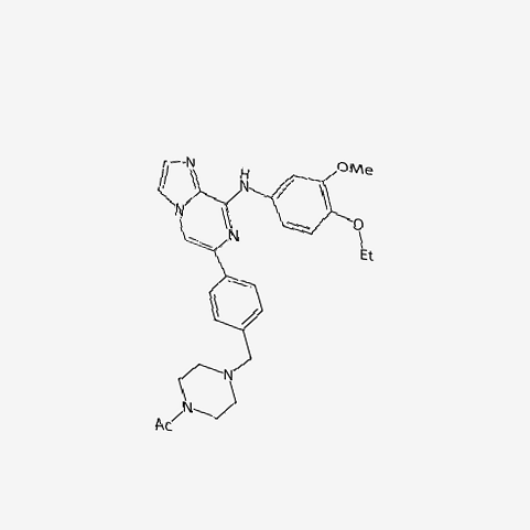 CCOc1ccc(Nc2nc(-c3ccc(CN4CCN(C(C)=O)CC4)cc3)cn3ccnc23)cc1OC